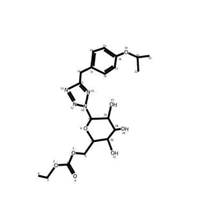 CCOC(=O)OCC1OC(n2nnc(Cc3ccc(OC(C)C)cc3)n2)C(O)C(O)C1O